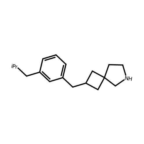 CC(C)Cc1cccc(CC2CC3(CCNC3)C2)c1